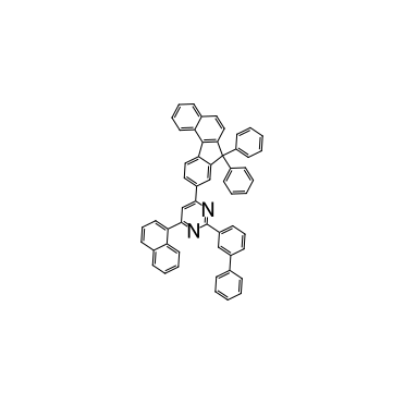 c1ccc(-c2cccc(-c3nc(-c4ccc5c(c4)C(c4ccccc4)(c4ccccc4)c4ccc6ccccc6c4-5)cc(-c4cccc5ccccc45)n3)c2)cc1